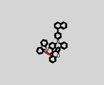 c1ccc(N(c2ccc(-c3cccc4ccccc34)cc2)c2ccc3c(c2)C2(c4ccccc4Oc4ccccc42)c2ccccc2[Si]3(c2ccccc2)c2ccccc2)cc1